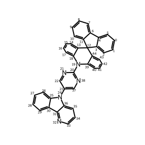 c1ccc2c(c1)-c1ccccc1C21c2ccccc2N(c2ncc(-n3c4ccccc4c4ncccc43)cn2)c2ccccc21